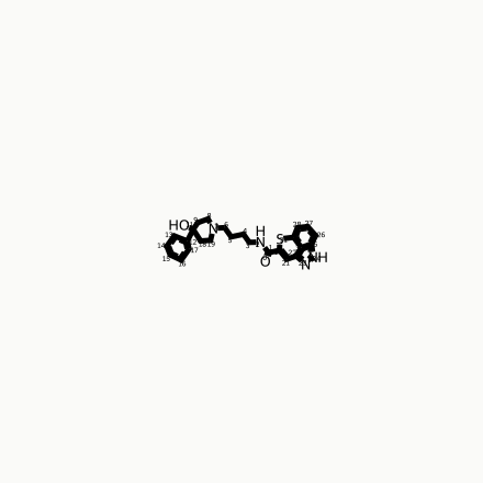 O=C(NCCCCN1CCC(O)(c2ccccc2)CC1)C1=Cc2n[nH]c3cccc(c23)S1